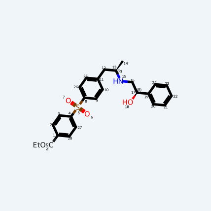 CCOC(=O)c1ccc(S(=O)(=O)c2ccc(C[C@@H](C)NC[C@H](O)c3ccccc3)cc2)cc1